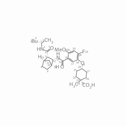 CCC(C)[C@H](C)NC(=O)[C@H]1[C@@H]2CC[C@@H](C2)[C@H]1NC(=O)c1cc(O[C@H]2CC[C@@](C)(C(=O)O)CC2)c(F)cc1OC